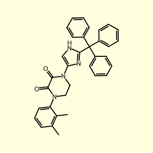 Cc1cccc(N2CCN(c3c[nH]c(C(c4ccccc4)(c4ccccc4)c4ccccc4)n3)C(=O)C2=O)c1C